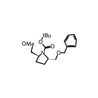 COC[C@@H]1CC[C@@H](COCc2ccccc2)N1C(=O)OC(C)(C)C